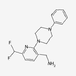 NCc1ccc(C(F)F)nc1N1CCN(c2ccccc2)CC1